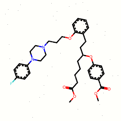 COC(=O)CCCCC(CCc1ccccc1OCCCN1CCN(c2ccc(F)cc2)CC1)Oc1ccc(C(=O)OC)cc1